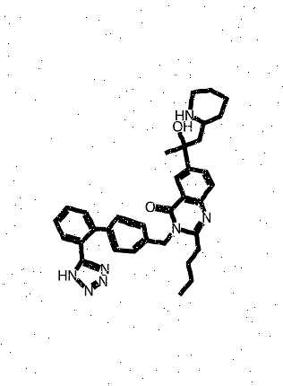 CCCCc1nc2ccc(C(C)(O)CC3CCCCN3)cc2c(=O)n1Cc1ccc(-c2ccccc2-c2nnn[nH]2)cc1